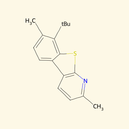 Cc1ccc2c(n1)sc1c(C(C)(C)C)c(C)ccc12